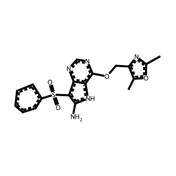 Cc1nc(COc2ncnc3c(S(=O)(=O)c4ccccc4)c(N)[nH]c23)c(C)o1